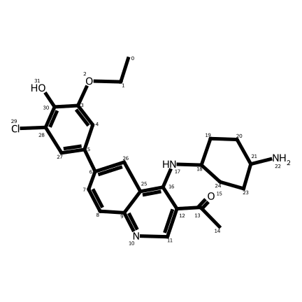 CCOc1cc(-c2ccc3ncc(C(C)=O)c(NC4CCC(N)CC4)c3c2)cc(Cl)c1O